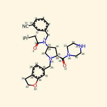 CC(C)CC(=O)N(Cc1cccc(C#N)c1)[C@H]1C[C@@H](C(=O)N2CCNCC2)N(Cc2ccc3c(c2)OCC3)C1